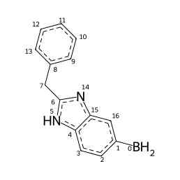 Bc1ccc2[nH]c(Cc3ccccc3)nc2c1